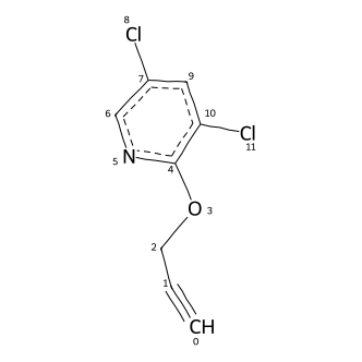 C#CCOc1ncc(Cl)cc1Cl